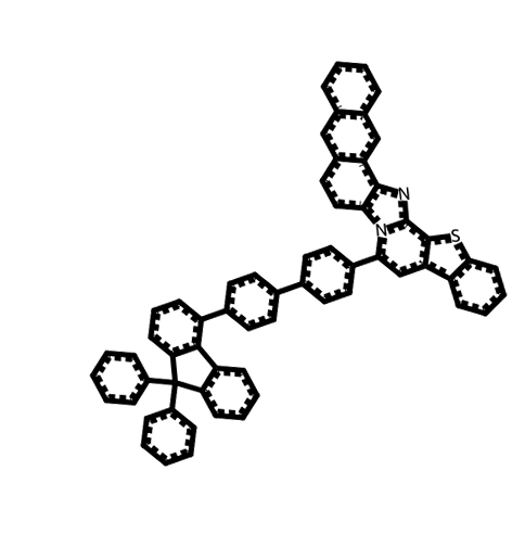 c1ccc(C2(c3ccccc3)c3ccccc3-c3c(-c4ccc(-c5ccc(-c6cc7c8ccccc8sc7c7nc8c9cc%10ccccc%10cc9ccc8n67)cc5)cc4)cccc32)cc1